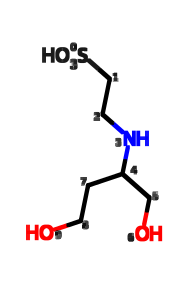 O=S(=O)(O)CCNC(CO)CCO